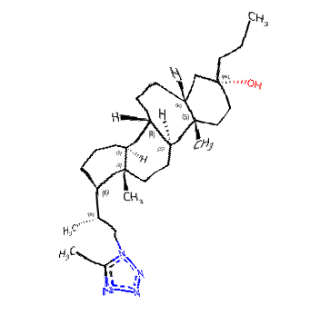 CCC[C@@]1(O)CC[C@@]2(C)[C@H](CC[C@@H]3[C@@H]2CC[C@]2(C)[C@@H]([C@@H](C)Cn4nnnc4C)CC[C@@H]32)C1